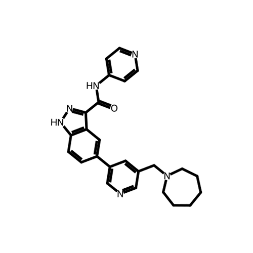 O=C(Nc1ccncc1)c1n[nH]c2ccc(-c3cncc(CN4CCCCCC4)c3)cc12